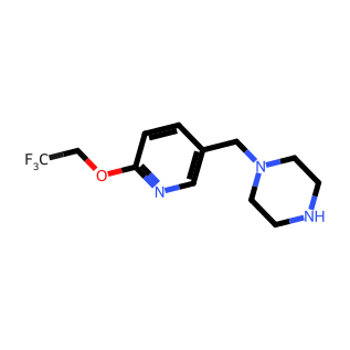 FC(F)(F)COc1ccc(CN2CCNCC2)cn1